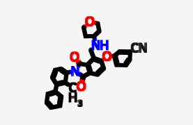 Cc1c(-c2ccccc2)cccc1N1C(=O)c2ccc(Oc3cccc(C#N)c3)c(CNC3CCOCC3)c2C1=O